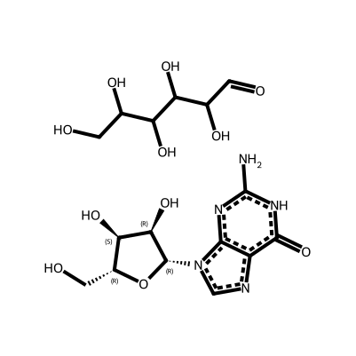 Nc1nc2c(ncn2[C@@H]2O[C@H](CO)[C@@H](O)[C@H]2O)c(=O)[nH]1.O=CC(O)C(O)C(O)C(O)CO